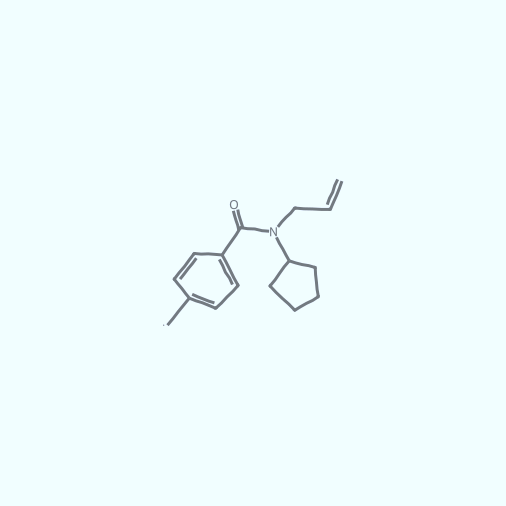 [CH2]c1ccc(C(=O)N(CC=C)C2CCCC2)cc1